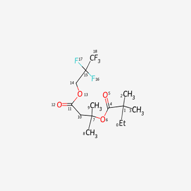 CCC(C)(C)C(=O)OC(C)(C)CC(=O)OCC(F)(F)C(F)(F)F